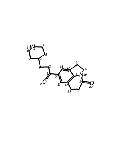 O=C(CCC1CCNCC1)c1cc2c3c(c1)CCN3C(=O)CC2